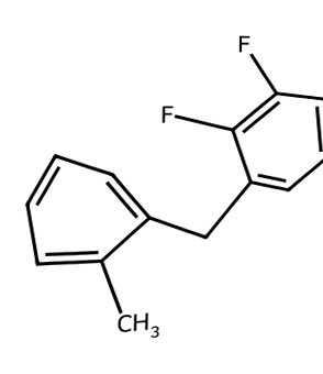 Cc1ccccc1Cc1cccc(F)c1F